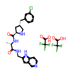 C[C@H](NC(=O)[C@H]1C[C@H](Cc2cccc(Cl)c2)CN1)C(=O)NCc1cc2cnccc2[nH]1.O=C(O)C(F)(F)F.O=C(O)C(F)(F)F